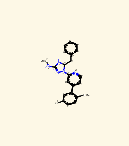 COc1ccc(C(C)C)cc1-c1ccnc(N2N=C(NC=O)NC2Cc2ccccc2)c1